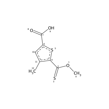 COC(=S)c1sc(C(=O)O)cc1C